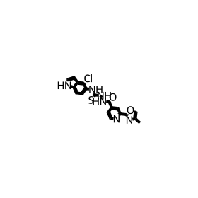 Cc1coc(-c2cc(C(=O)NNC(=S)Nc3ccc4[nH]ccc4c3Cl)ccn2)n1